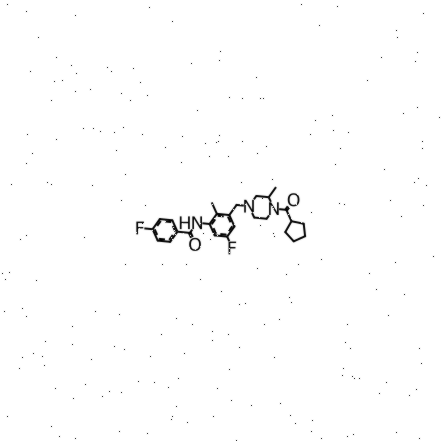 Cc1c(CN2CCN(C(=O)C3CCCC3)C(C)C2)cc(F)cc1NC(=O)c1ccc(F)cc1